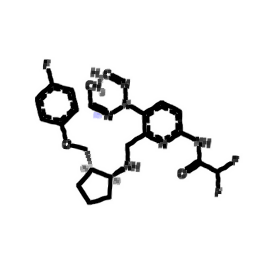 C=NN(/N=C\C)c1ccc(NC(=O)C(F)F)nc1CN[C@H]1CCC[C@@H]1COc1ccc(F)cc1